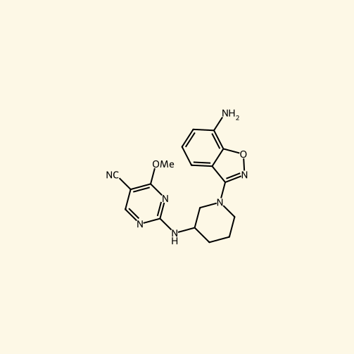 COc1nc(NC2CCCN(c3noc4c(N)cccc34)C2)ncc1C#N